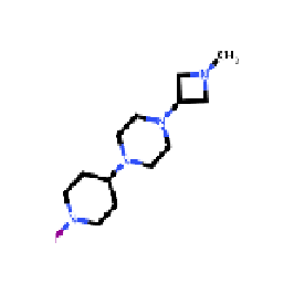 CN1CC(N2CCN(C3CCN(I)CC3)CC2)C1